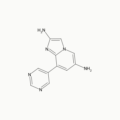 Nc1cc(-c2cncnc2)c2nc(N)cn2c1